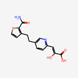 NC(=O)c1sccc1CCc1ccc(/C=C(\O)C(=O)O)nc1